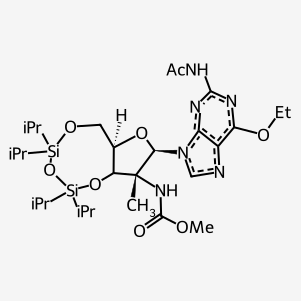 CCOc1nc(NC(C)=O)nc2c1ncn2[C@@H]1O[C@@H]2CO[Si](C(C)C)(C(C)C)O[Si](C(C)C)(C(C)C)OC2[C@@]1(C)NC(=O)OC